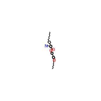 CCCCCCCOc1ccc(-c2ccc(OC(=O)c3ccc(C4CCC(CCCCCCC)CC4)c(C#N)c3)cc2)cc1